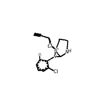 C#CCO[N+]12CCNC1N2c1c(Cl)cccc1Cl